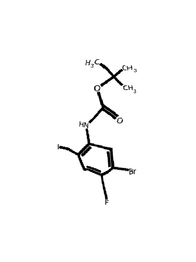 CC(C)(C)OC(=O)Nc1cc(Br)c(F)cc1I